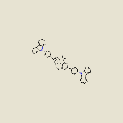 CC1(C)c2cc(-c3ccc(-n4c5ccccc5c5ccccc54)cc3)cc3c2C24CC(C(c5ccc(-n6c7ccccc7c7ccccc76)cc5)=CC12)C4C=C3